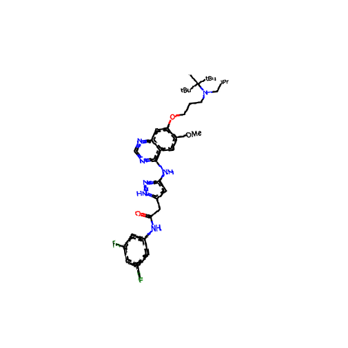 [CH2]C(N(CCCOc1cc2ncnc(Nc3cc(CC(=O)Nc4cc(F)cc(F)c4)[nH]n3)c2cc1OC)CC(C)C)(C(C)(C)C)C(C)(C)C